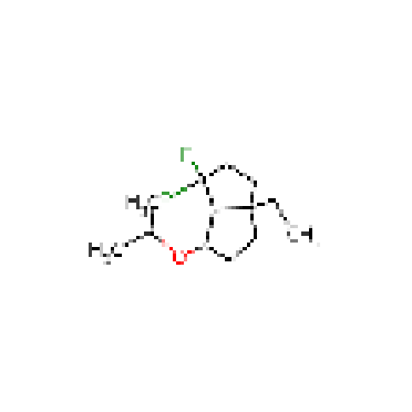 CCC12CCC(OC(C)C)C1C(F)(F)CC2